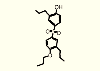 CCCOc1ccc(S(=O)(=O)c2ccc(O)c(CCC)c2)cc1CCC